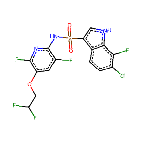 O=S(=O)(Nc1nc(F)c(OCC(F)F)cc1F)c1c[nH]c2c(F)c(Cl)ccc12